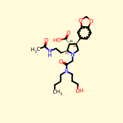 CCCCN(CCCO)C(=O)CN1C[C@H](c2ccc3c(c2)OCO3)[C@@H](C(=O)O)[C@@H]1CCNC(C)=O